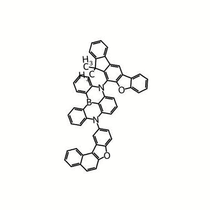 CC1(C)c2ccccc2-c2cc3c(oc4ccccc43)c(N3c4ccccc4B4c5ccccc5N(c5ccc6oc7ccc8ccccc8c7c6c5)c5cccc3c54)c21